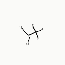 FC(F)(F)N(Cl)Cl